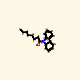 CCCCCCCC(=O)n1c2ccccc2c2ccccc21